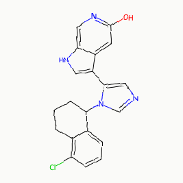 Oc1cc2c(-c3cncn3C3CCCc4c(Cl)cccc43)c[nH]c2cn1